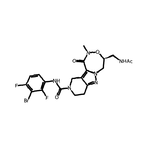 CC(=O)NC[C@H]1Cn2nc3c(c2C(=O)N(C)O1)CN(C(=O)Nc1ccc(F)c(Br)c1F)CC3